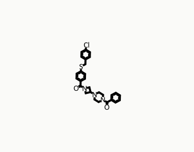 O=C(c1ccccc1)N1CCN(C2CN(C(=O)c3ccc(SCc4ccc(Cl)cc4)cc3)C2)CC1